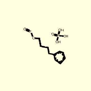 O=P(O)(O)O.O=POCCCCc1ccccc1